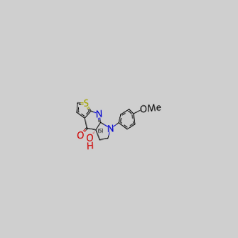 COc1ccc(N2CC[C@@]3(O)C(=O)c4ccsc4N=C23)cc1